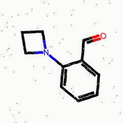 O=Cc1ccccc1N1CCC1